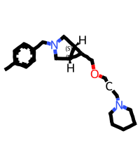 Cc1ccc(CN2C[C@@H]3C(COCCCN4CCCCC4)[C@@H]3C2)cc1